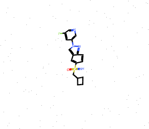 N=S(=O)(CC1CCC1)c1ccc2nn(-c3cncc(F)c3)cc2c1